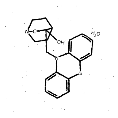 O.OC1(CN2c3ccccc3Sc3ccccc32)CN2CCC1CC2